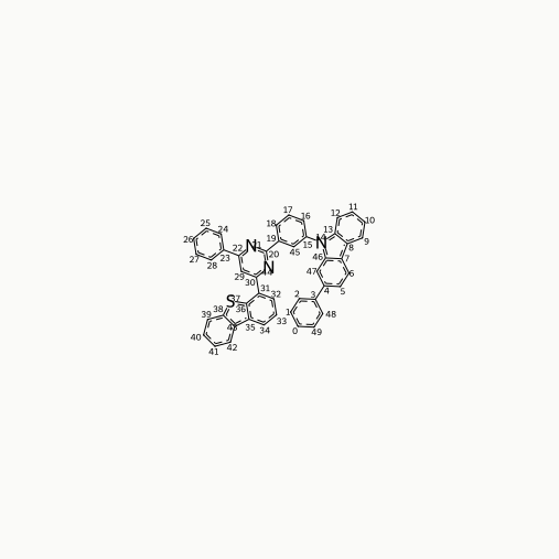 c1ccc(-c2ccc3c4ccccc4n(-c4cccc(-c5nc(-c6ccccc6)cc(-c6cccc7c6sc6ccccc67)n5)c4)c3c2)cc1